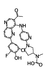 CC(=O)c1cnc2ccc(-c3cc(F)c(O)c(Cl)c3)nc2c1Nc1ccc(N2CCC(N(C)C(=O)O)C2)nc1